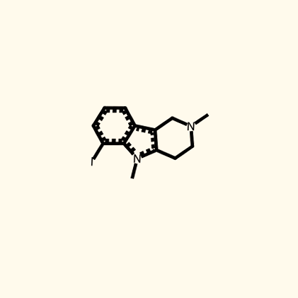 CN1CCc2c(c3cccc(I)c3n2C)C1